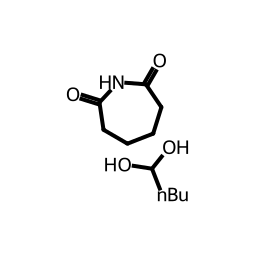 CCCCC(O)O.O=C1CCCCC(=O)N1